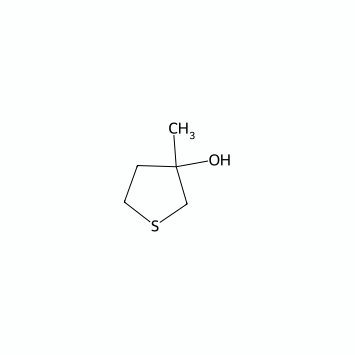 CC1(O)CCSC1